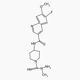 COc1cc2ncc(C(=O)NC3CCN(C(=N)N(C)N)CC3)cc2cc1F